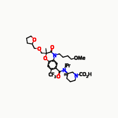 COCCCCN1C(=O)C(C)(COCC2CCCO2)Oc2cc(C(F)(F)F)c(C(=O)N(C(C)C)[C@@H]3CCCN(C(=O)O)C3)cc21